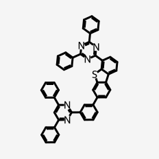 c1ccc(-c2cc(-c3ccccc3)nc(-c3cccc(-c4ccc5c(c4)sc4c(-c6nc(-c7ccccc7)nc(-c7ccccc7)n6)cccc45)c3)n2)cc1